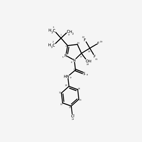 CC(C)(C)C1=NN(C(=S)Nc2ccc(Cl)cc2)C(O)(C(F)(F)F)C1